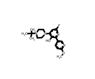 COc1ccc(-c2nc(F)cc(N3CCN(C(C)(C)C)CC3)c2O)cn1